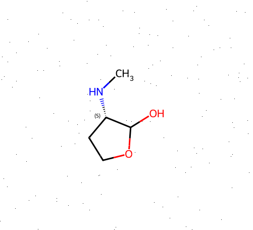 CN[C@H]1CCOC1O